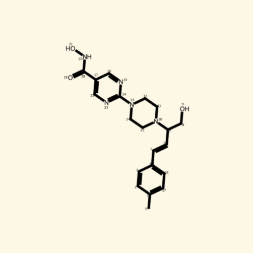 Cc1ccc(/C=C/C(CO)N2CCN(c3ncc(C(=O)NO)cn3)CC2)cc1